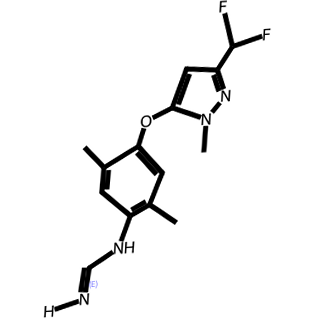 [H]/N=C/Nc1cc(C)c(Oc2cc(C(F)F)nn2C)cc1C